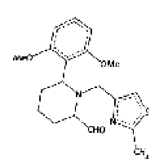 COc1cccc(OC)c1C1CCCC(C=O)N1Cc1csc(C)n1